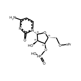 CCCOC[C@H]1O[C@@H](n2ccc(N)nc2=O)[C@H](O)[C@@H]1O[PH](=O)O